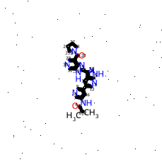 CC(C)C(=O)Nc1cncc(-c2cnc3[nH]nc(-c4nc5c(C(=O)N6CCCC6)cncc5[nH]4)c3c2)c1